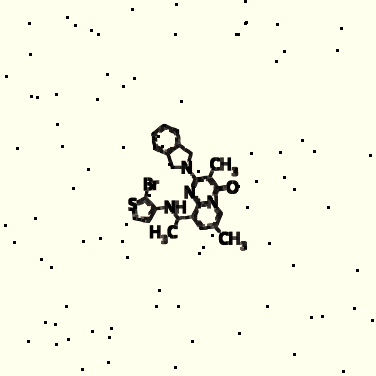 Cc1cc(C(C)Nc2ccsc2Br)c2nc(N3Cc4ccccc4C3)c(C)c(=O)n2c1